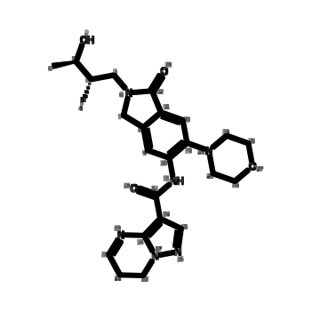 C[C@@H](O)[C@@H](F)CN1Cc2cc(NC(=O)c3cnn4c3N=CCC4)c(N3CCOCC3)cc2C1=O